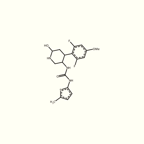 COc1cc(F)c(C2CC(O)NCC2NC(=O)Nc2ccc(C)s2)c(F)c1